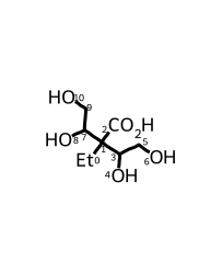 CCC(C(=O)O)(C(O)CO)C(O)CO